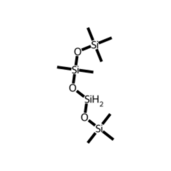 C[Si](C)(C)O[SiH2]O[Si](C)(C)O[Si](C)(C)C